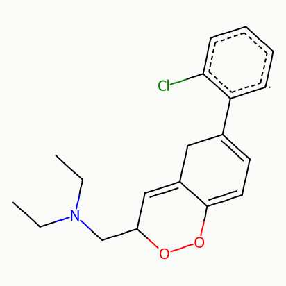 CCN(CC)CC1C=C2CC(c3[c]cccc3Cl)=CC=C2OO1